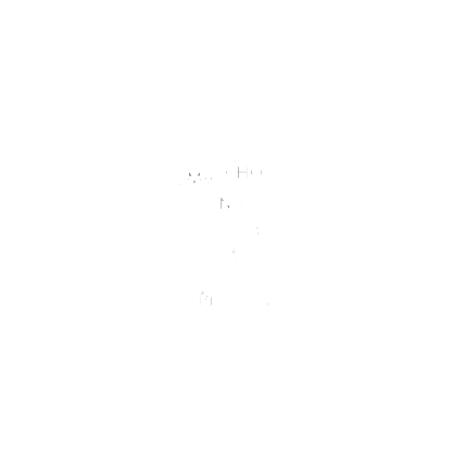 COC[C@@H](Cc1ccccc1Br)NC=O